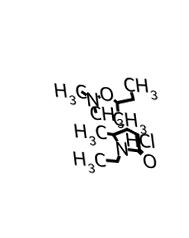 CCC(C)ON(C)C.CCN1C(=O)CCC1C.Cl